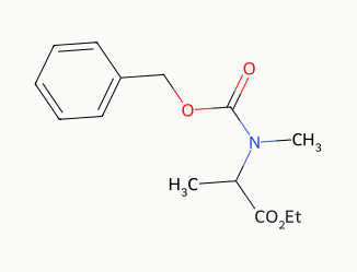 CCOC(=O)C(C)N(C)C(=O)OCc1ccccc1